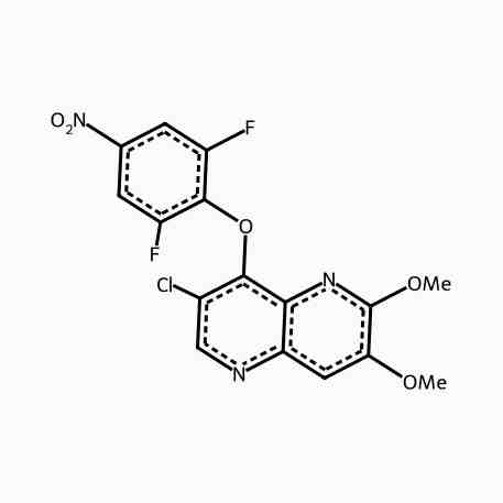 COc1cc2ncc(Cl)c(Oc3c(F)cc([N+](=O)[O-])cc3F)c2nc1OC